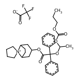 CCCOC(=O)OC(C)OC(C(=O)OC1CC2CCC(C1)[N+]21CCCC1)(c1ccccc1)c1ccccc1.O=C([O-])C(F)(F)F